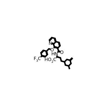 C=C1CC(C)CC(CC[C@H](NC(=O)c2ccc3cccnc3c2OCc2ccc(C(F)(F)F)cc2)C(=O)O)C1